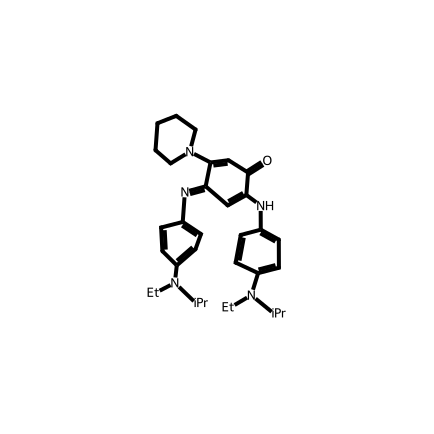 CCN(c1ccc(/N=C2\C=C(Nc3ccc(N(CC)C(C)C)cc3)C(=O)C=C2N2CCCCC2)cc1)C(C)C